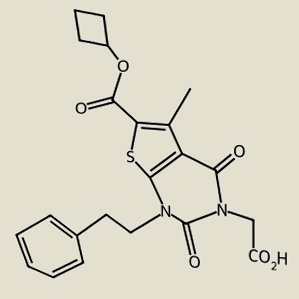 Cc1c(C(=O)OC2CCC2)sc2c1c(=O)n(CC(=O)O)c(=O)n2CCc1ccccc1